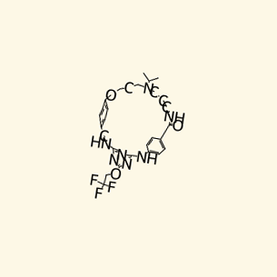 CC(C)N1CCCNC(=O)c2ccc(cc2)Nc2nc(nc(OCC(F)(F)F)n2)NCc2ccc(cc2)OCCC1